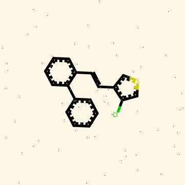 Clc1cscc1C=Cc1ccccc1-c1ccccc1